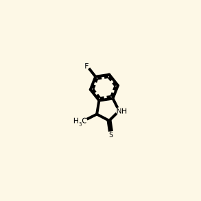 CC1C(=S)Nc2ccc(F)cc21